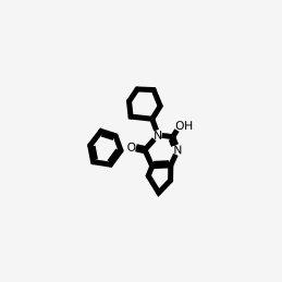 O=c1c2c(nc(O)n1C1CCCCC1)CCC2.[c]1ccccc1